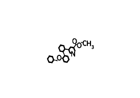 CCOC(=O)c1cncc(-c2ccccc2-c2ccccc2OCc2ccccc2)c1